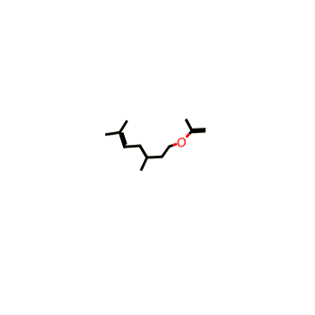 C=C(C)OCCC(C)CC=C(C)C